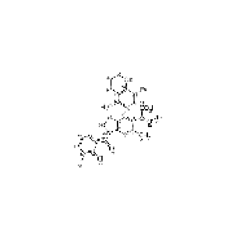 Cc1cc2c(c(-c3cc(F)c4c(c3C)CCCO4)c1[C@H](OC(C)(C)C)C(=O)O)CCN2C(=O)c1cccc(F)c1Cl